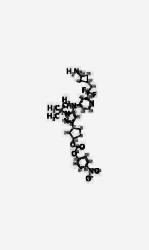 CC(C)(C)n1nc([C@H]2CC[C@@H](OC(=O)Oc3ccc([N+](=O)[O-])cc3)C2)cc1Nc1ccnc(C(F)(F)CC2CC(N)C2)c1